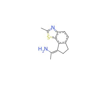 CC(N)=C1CCc2ccc3nc(C)sc3c21